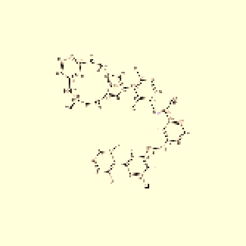 Cc1cccc(C)c1-c1cc(Cl)nc(NSc2cccc(/C(O)=C/c3ccc(C)c(-c4cc5nc(n4)NSc4cccc(c4)N[C@H](C)CO5)c3C)c2)n1